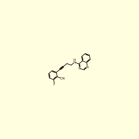 N#Cc1c(F)cccc1C#CCCNc1ncnc2ccccc12